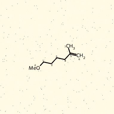 [CH2]OCCCCC(=C)C